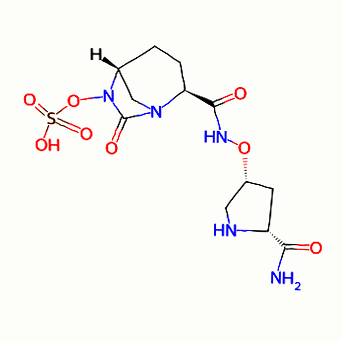 NC(=O)[C@H]1C[C@@H](ONC(=O)[C@@H]2CC[C@@H]3CN2C(=O)N3OS(=O)(=O)O)CN1